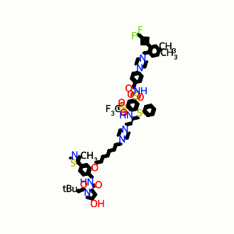 Cc1ncsc1-c1ccc(CNC(=O)[C@@H]2C[C@@H](O)CN2C(=O)CC(C)(C)C)c(OCCCCCCCCN2CCN(CC[C@H](CSc3ccccc3)Nc3ccc(S(=O)(=O)NC(=O)c4ccc(N5CCN(CC6=C(C78CC(C(F)F)(C7)C8)CC(C)(C)CC6)CC5)cc4)cc3S(=O)(=O)C(F)(F)F)CC2)c1